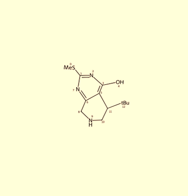 CSc1nc(O)c2c(n1)CNCC2C(C)(C)C